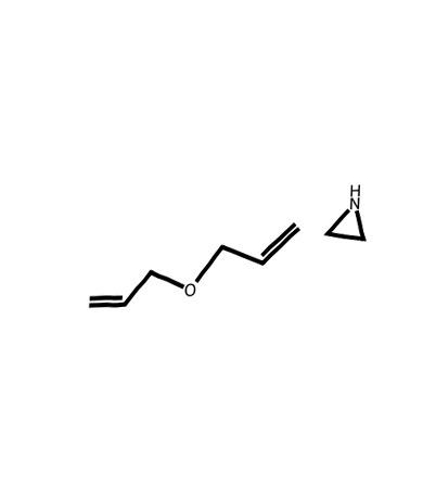 C1CN1.C=CCOCC=C